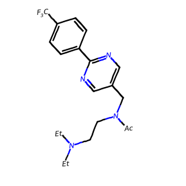 [CH2]C(=O)N(CCN(CC)CC)Cc1cnc(-c2ccc(C(F)(F)F)cc2)nc1